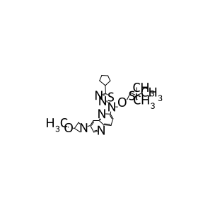 COC1CN(c2cnc3ccc(N(COCC[Si](C)(C)C)c4nnc(C5CCCC5)s4)nc3c2)C1